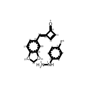 NNc1ccc(F)cc1.O=C1C=CC1=Cc1ccc2c(c1)OCO2